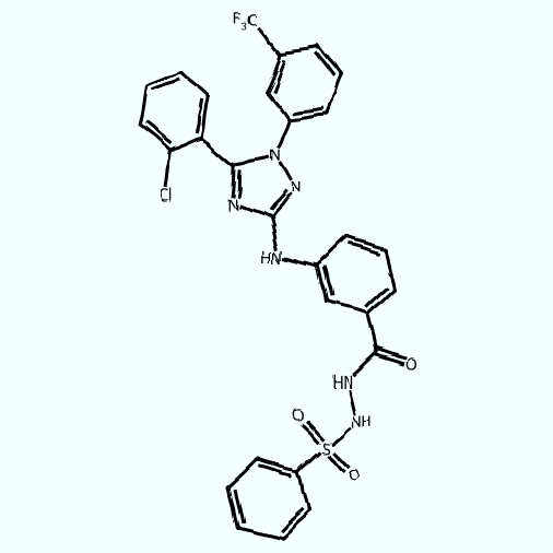 O=C(NNS(=O)(=O)c1ccccc1)c1cccc(Nc2nc(-c3ccccc3Cl)n(-c3cccc(C(F)(F)F)c3)n2)c1